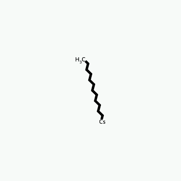 CCCCCCCCCCC[CH2][Cs]